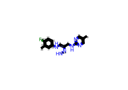 Cc1cnc(NC/C(=C/Nc2ccc(F)c(C)c2)N=N)nc1